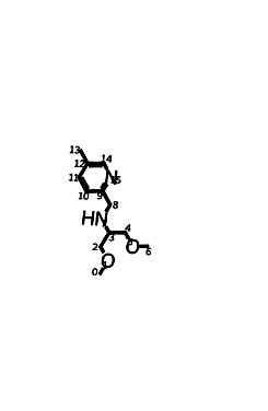 COCC(COC)NCc1ccc(C)cn1